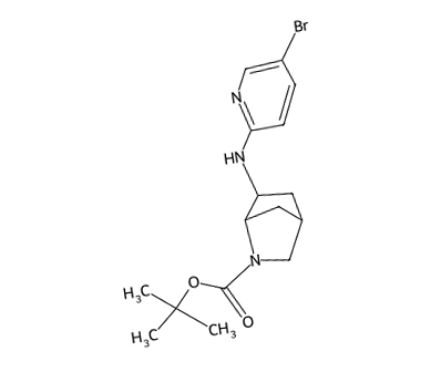 CC(C)(C)OC(=O)N1CC2CC(Nc3ccc(Br)cn3)C1C2